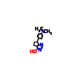 CN(C)c1ccc(C2CCc3c(O)ncnc32)cc1